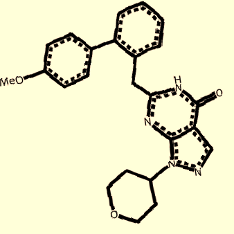 COc1ccc(-c2ccccc2Cc2nc3c(cnn3C3CCOCC3)c(=O)[nH]2)cc1